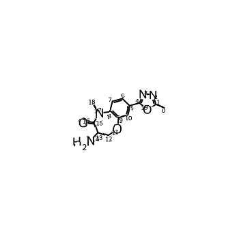 Cc1nnc(-c2ccc3c(c2)OCC(N)C(=O)N3C)o1